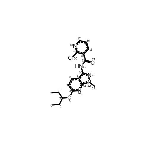 CCC(CC)Oc1ccc2c(NC(=O)c3cccnc3Cl)nn(C)c2n1